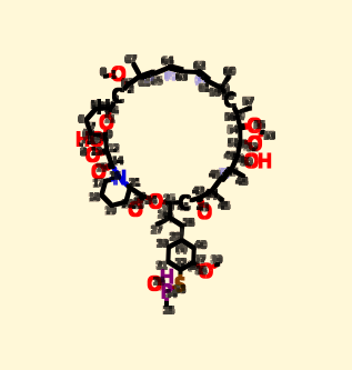 CO[C@H]1C[C@@H]2CC[C@@H](C)[C@@](O)(O2)C(=O)C(=O)N2CCCCC2C(=O)O[C@H]([C@H](C)C[C@@H]2CCC(S[PH](C)=O)[C@H](OC)C2)CC(=O)[C@H](C)/C=C(\C)[C@@H](O)[C@@H](OC)C(=O)[C@H](C)C[C@H](C)/C=C/C=C/C=C/1C